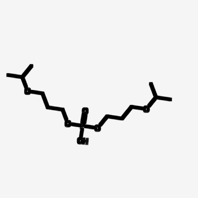 CC(C)OCCCOP(=O)(O)OCCCOC(C)C